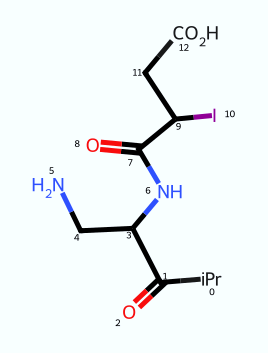 CC(C)C(=O)C(CN)NC(=O)C(I)CC(=O)O